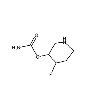 NC(=O)OC1CNCCC1F